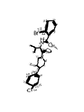 CC(C)[C@@H](NC(=O)c1ccccc1Br)C(=O)N1CCC(c2ccc(Cl)cc2)CC1